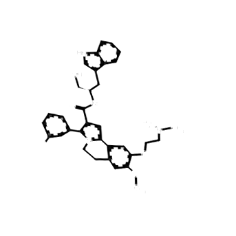 COc1cc2c(cc1OCCN(C)C)-c1cc(C(=O)N[C@@H](CO)Cc3c[nH]c4ccccc34)c(-c3cccc(F)c3)n1CC2